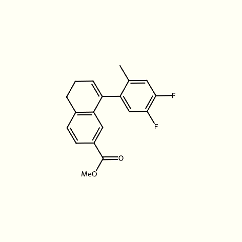 COC(=O)c1ccc2c(c1)C(c1cc(F)c(F)cc1C)=CCC2